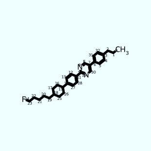 CCCc1ccc(-c2cnc(-c3ccc(C4CCC(CCCCCF)CC4)cc3)nc2)cc1